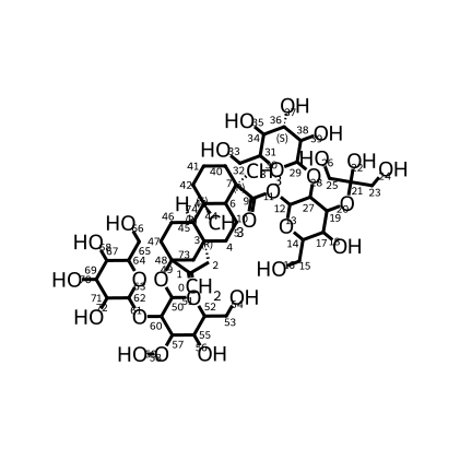 C=C1C[C@@]23CCC4[C@](C)(C(=O)OC5OC(CO)C(O)C(OC(O)(CO)CO)C5OC5OC(CO)C(O)[C@H](O)C5O)CCC[C@@]4(C)[C@@H]2CCC1(OC1OC(CO)C(O)C(OO)C1OC1OC(CO)C(O)C(O)C1O)C3